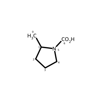 CC1CCCN1C(=O)O